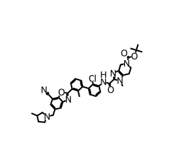 Cc1c(-c2nc3cc(CN4CCC(C)C4)cc(C#N)c3o2)cccc1-c1cccc(NC(=O)c2nc3c(n2C)CCN(C(=O)OC(C)(C)C)C3)c1Cl